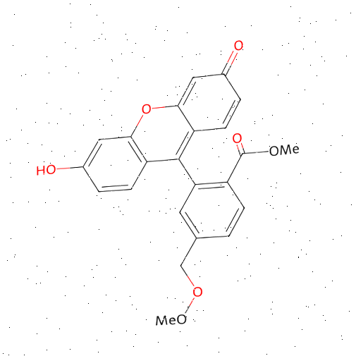 COOCc1ccc(C(=O)OC)c(-c2c3ccc(=O)cc-3oc3cc(O)ccc23)c1